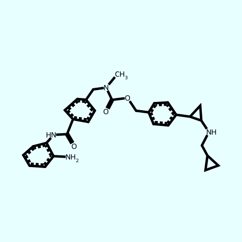 CN(Cc1ccc(C(=O)Nc2ccccc2N)cc1)C(=O)OCc1ccc(C2CC2NCC2CC2)cc1